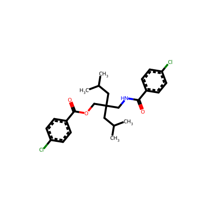 CC(C)CC(CNC(=O)c1ccc(Cl)cc1)(COC(=O)c1ccc(Cl)cc1)CC(C)C